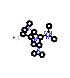 Cc1cc(-c2ccc3c(c2)c2ccccc2n3-c2c(-c3ccc(-n4c5ccccc5c5ccccc54)cc3)cc(-c3nc(-c4ccccc4)nc(-c4ccccc4)n3)cc2-c2ccc(-n3c4ccccc4c4ccccc43)cc2)cc(C(F)(F)F)c1